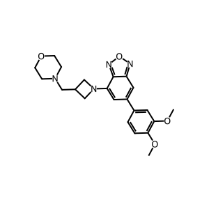 COc1ccc(-c2cc(N3CC(CN4CCOCC4)C3)c3nonc3c2)cc1OC